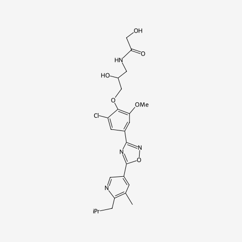 COc1cc(-c2noc(-c3cnc(CC(C)C)c(C)c3)n2)cc(Cl)c1OCC(O)CNC(=O)CO